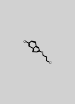 ClCCCSc1ccc2cc(Cl)ccc2c1